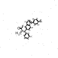 CC(C(=O)F)C(c1ccccc1)c1ccc2c(cnn2-c2ccc(F)cc2)c1